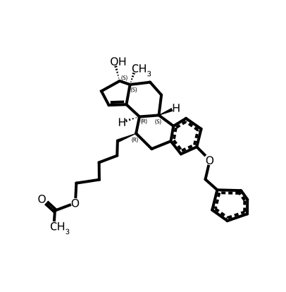 CC(=O)OCCCCC[C@@H]1Cc2cc(OCc3ccccc3)ccc2[C@H]2CC[C@@]3(C)C(=CC[C@@H]3O)[C@H]12